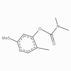 CSc1cc(OC(=O)N(C)C)c(C)cn1